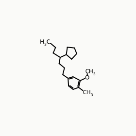 CCCC(CCCc1ccc(C)c(OC)c1)C1CCCC1